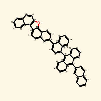 c1ccc2cc(-c3c4ccccc4c(-c4ccc(-c5ccc6c(ccc7c6oc6ccc8ccccc8c67)c5)c5ccccc45)c4ccccc34)ccc2c1